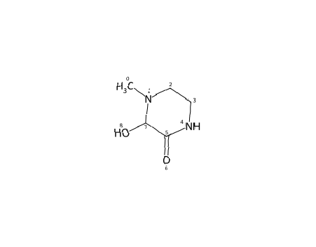 CN1CCNC(=O)C1O